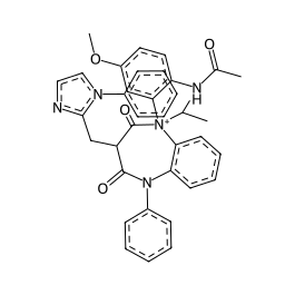 COc1ccc(NC(C)=O)c([N+]2(C(C)C)C(=O)C(Cc3nccn3-c3ccccc3)C(=O)N(c3ccccc3)c3ccccc32)c1